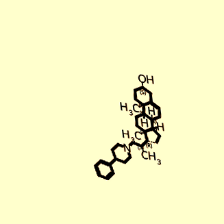 C[C@H](CN1CCC(c2ccccc2)CC1)[C@H]1CC[C@H]2[C@@H]3CC=C4C[C@@H](O)CC[C@]4(C)[C@H]3CC[C@]12C